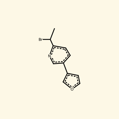 CC(Br)c1ccc(-c2ccoc2)cn1